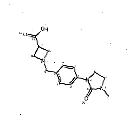 CN1CCN(c2ccc(CN3CC(C(=O)O)C3)cc2)C1=O